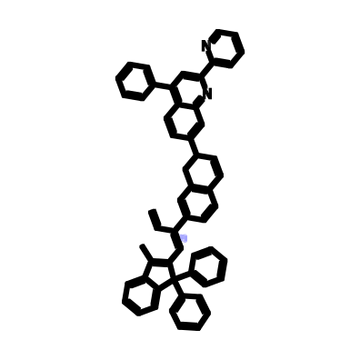 C=C/C(=C\C1=C(C)c2ccccc2C1(c1ccccc1)c1ccccc1)c1ccc2c(c1)CC(c1ccc3c(-c4ccccc4)cc(-c4ccccn4)nc3c1)C=C2